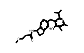 COCCC(=O)NC1CCc2cc(Cc3c(C(C)C)nc(C)c(C)c3O)ccc21